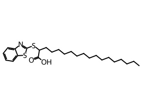 CCCCCCCCCCCCCCCCC(Sc1nc2ccccc2s1)C(=O)O